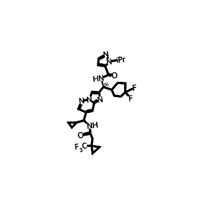 CC(C)n1nccc1C(=O)N[C@H](c1cn2ncc(C(NC(=O)CC3(C(F)(F)F)CC3)C3CC3)cc2n1)C1CCC(F)(F)CC1